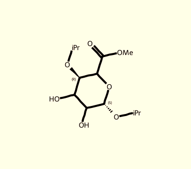 COC(=O)C1O[C@H](OC(C)C)C(O)C(O)[C@H]1OC(C)C